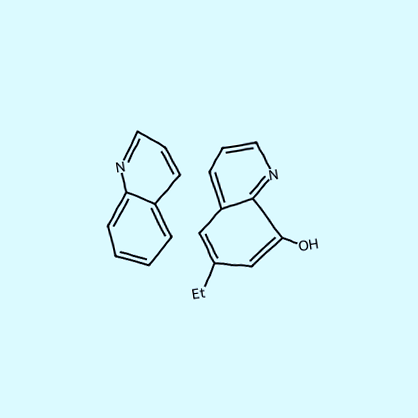 CCc1cc(O)c2ncccc2c1.c1ccc2ncccc2c1